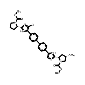 CS[C@H]1C[C@@H](c2ncc(-c3ccc(-c4ccc(-c5[nH]c([C@@H]6CCCN6C(=O)OC(C)(C)C)nc5Cl)cc4)cc3)[nH]2)N(C(=O)OC(C)(C)C)C1